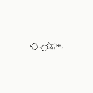 NCc1nc2cc(-c3ccncc3)ccc2[nH]1